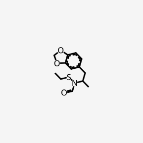 CCSN(C=O)C(C)Cc1ccc2c(c1)OCO2